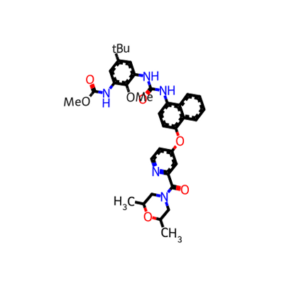 COC(=O)Nc1cc(C(C)(C)C)cc(NC(=O)Nc2ccc(Oc3ccnc(C(=O)N4CC(C)OC(C)C4)c3)c3ccccc23)c1OC